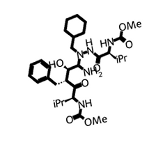 COC(=O)N[C@H](C(=O)NN(CC1CCCCC1)C(N)[C@H](O)[C@@H](Cc1ccccc1)C(=O)[C@@H](NC(=O)OC)C(C)C)C(C)C